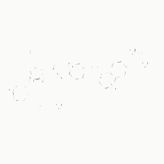 CCOc1cn(-c2cnccc2CC(=O)OC)nc1C(=O)Nc1ccc(Oc2ccnc3cc(OC)c(OC)cc23)cn1